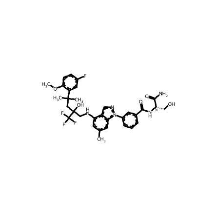 COc1ccc(F)cc1C(C)(C)CC(O)(CNc1cc(C)cc2c1cnn2-c1cccc(C(=O)N[C@@H](CO)C(N)=O)c1)C(F)(F)F